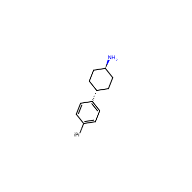 CC(C)c1ccc([C@H]2CC[C@H](N)CC2)cc1